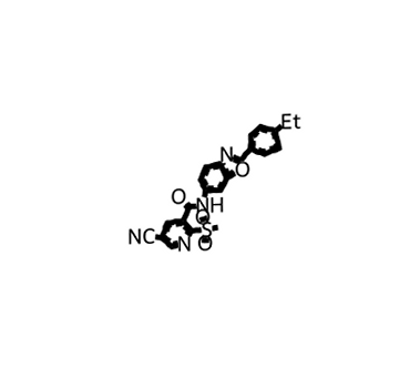 CCc1ccc(-c2nc3ccc(NC(=O)c4cc(C#N)cnc4S(C)(=O)=O)cc3o2)cc1